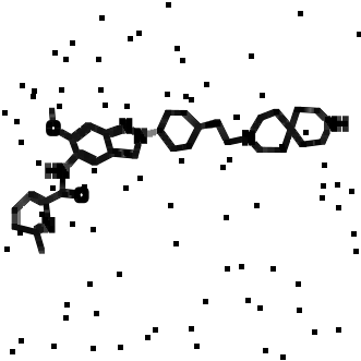 COc1cc2nn([C@H]3CC[C@H](CCN4CCC5(CCNCC5)CC4)CC3)cc2cc1NC(=O)c1cccc(C)n1